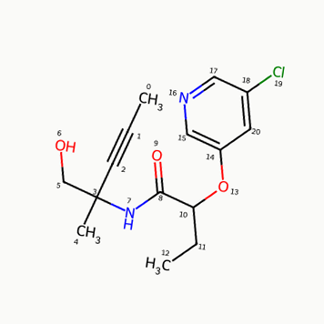 CC#CC(C)(CO)NC(=O)C(CC)Oc1cncc(Cl)c1